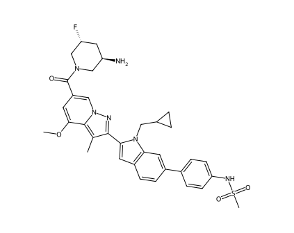 COc1cc(C(=O)N2C[C@H](N)C[C@@H](F)C2)cn2nc(-c3cc4ccc(-c5ccc(NS(C)(=O)=O)cc5)cc4n3CC3CC3)c(C)c12